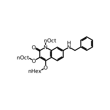 CCCCCCCCOc1c(OCCCCCC)c2ccc(NCc3ccccc3)cc2n(CCCCCCCC)c1=O